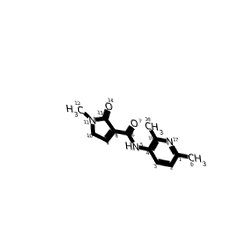 Cc1ccc(NC(=O)C2=CCN(C)C2=O)c(C)n1